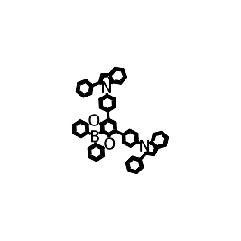 c1ccc(-c2cc3ccccc3n2-c2ccc(-c3cc(-c4ccc(-n5c(-c6ccccc6)cc6ccccc65)cc4)c4c5c3Oc3ccccc3B5c3ccccc3O4)cc2)cc1